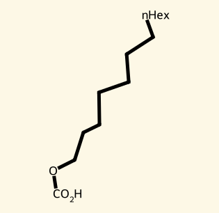 CCCCCCCCCCCCCOC(=O)O